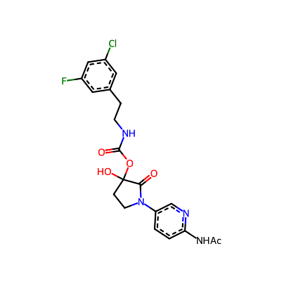 CC(=O)Nc1ccc(N2CCC(O)(OC(=O)NCCc3cc(F)cc(Cl)c3)C2=O)cn1